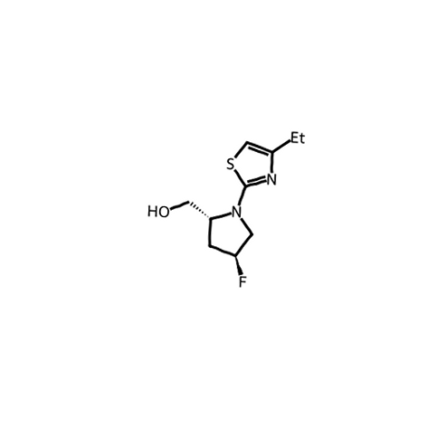 CCc1csc(N2C[C@@H](F)C[C@@H]2CO)n1